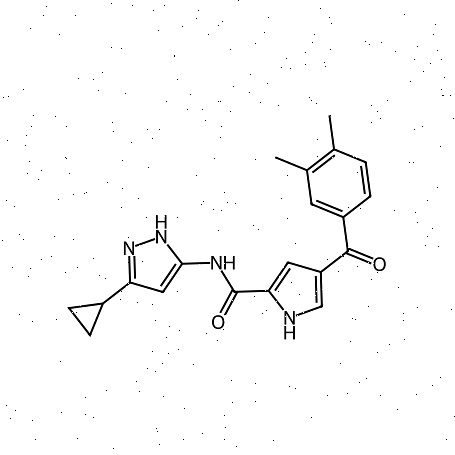 Cc1ccc(C(=O)c2c[nH]c(C(=O)Nc3cc(C4CC4)n[nH]3)c2)cc1C